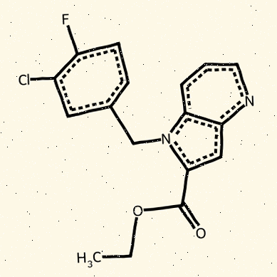 CCOC(=O)c1cc2ncccc2n1Cc1ccc(F)c(Cl)c1